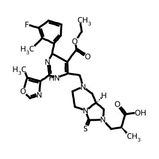 CCOC(=O)C1=C(CN2CCN3C(=S)N(C[C@H](C)C(=O)O)C[C@@H]3C2)NC(c2ncoc2C)=NC1c1cccc(F)c1C